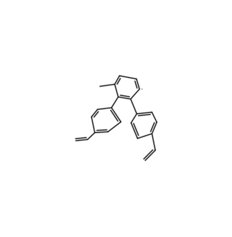 C=Cc1ccc(-c2[c]ccc(C)c2-c2ccc(C=C)cc2)cc1